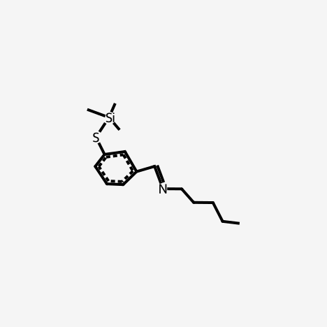 CCCCCN=Cc1cccc(S[Si](C)(C)C)c1